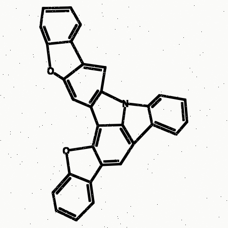 c1ccc2c(c1)oc1cc3c4c5oc6ccccc6c5cc5c6ccccc6n(c3cc12)c54